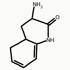 NC1CC2CC=CC=C2NC1=O